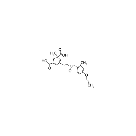 C=CCOc1ccc(C[S+]([O-])CCC2=CC(C)(C(=O)O)CC(C(=O)O)=C2)c(C)c1